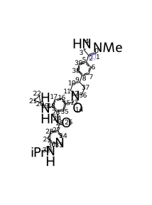 CN/C=C(\C=N)c1ccc(C2CCN(C(=O)c3ccc(NC4CC4)c(NC(=O)c4ccc(NC(C)C)nc4)c3)CC2)cc1